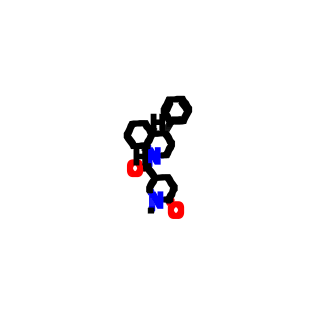 CN1CC(C(=O)N2CC[C@H](c3ccccc3)[C@H]3CCCC[C@H]32)CCC1=O